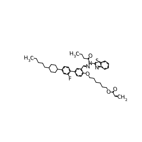 C=CC(=O)OCCCCCCOc1ccc(-c2ccc(C3CCC(CCCCC)CC3)cc2F)cc1/C=N/N(C(=O)CCC)c1nc2ccccc2s1